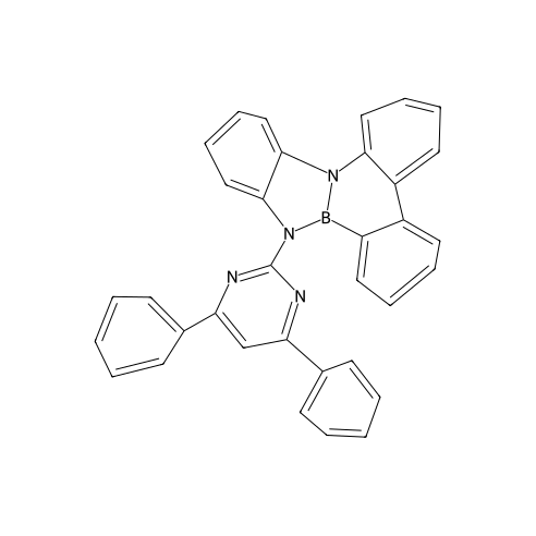 c1ccc(-c2cc(-c3ccccc3)nc(N3B4c5ccccc5-c5ccccc5N4c4ccccc43)n2)cc1